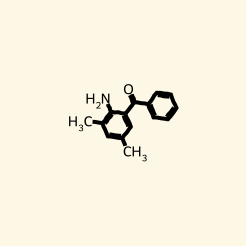 Cc1cc(C)c(N)c(C(=O)c2ccccc2)c1